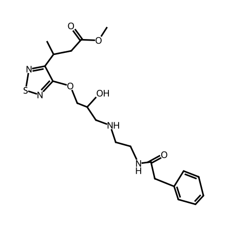 COC(=O)CC(C)c1nsnc1OCC(O)CNCCNC(=O)Cc1ccccc1